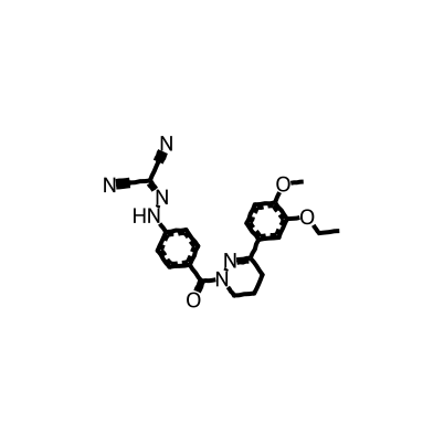 CCOc1cc(C2=NN(C(=O)c3ccc(NN=C(C#N)C#N)cc3)CCC2)ccc1OC